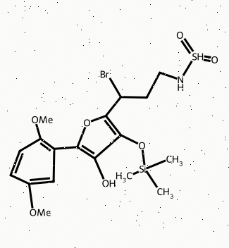 COc1ccc(OC)c(-c2oc(C(Br)CCN[SH](=O)=O)c(O[Si](C)(C)C)c2O)c1